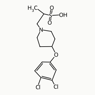 CC(CN1CCC(Oc2ccc(Cl)c(Cl)c2)CC1)S(=O)(=O)O